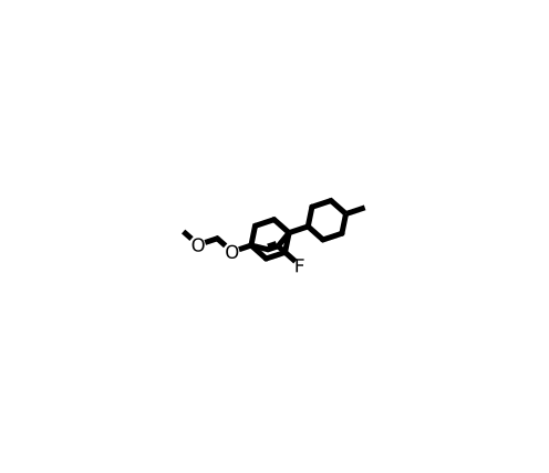 COCOC12C=C(F)C(C3CCC(C)CC3)(CC1)CC2